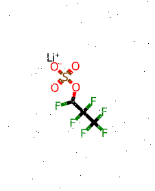 O=S(=O)([O-])OC(F)C(F)(F)C(F)(F)F.[Li+]